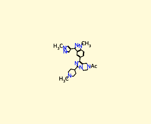 CC(=O)N1CCn2c(C3CCN(C)CC3)nc(-c3ccc4c(c3)c(-c3cnn(C)c3)nn4C)c2C1